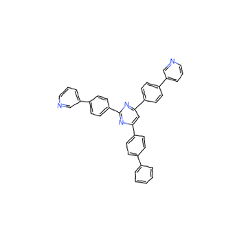 c1ccc(-c2ccc(-c3cc(-c4ccc(-c5cccnc5)cc4)nc(-c4ccc(-c5cccnc5)cc4)n3)cc2)cc1